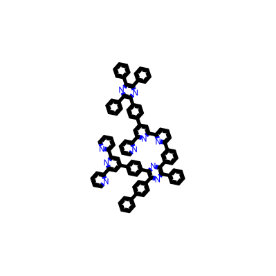 c1ccc(-c2ccc(-c3nc(-c4ccccc4)c(-c4cccc(-c5cccc(-c6cc(-c7ccc(-c8nc(-c9ccccc9)c(-c9ccccc9)nc8-c8ccccc8)cc7)cc(-c7ccccn7)n6)n5)c4)nc3-c3ccc(-c4cc(-c5ccccn5)nc(-c5ccccn5)c4)cc3)cc2)cc1